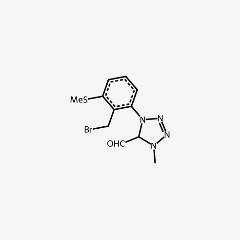 CSc1cccc(N2N=NN(C)C2C=O)c1CBr